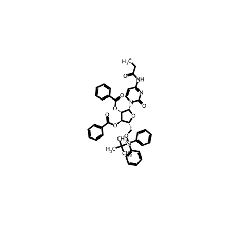 CCC(=O)Nc1ccn([C@@H]2O[C@H](CO[Si](c3ccccc3)(c3ccccc3)C(C)(C)C)[C@@H](OC(=O)c3ccccc3)[C@@H]2OC(=O)c2ccccc2)c(=O)n1